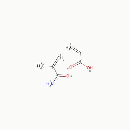 C=C(C)C(N)=O.C=CC(=O)O